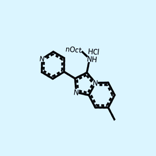 CCCCCCCCNc1c(-c2ccncc2)nc2cc(C)ccn12.Cl